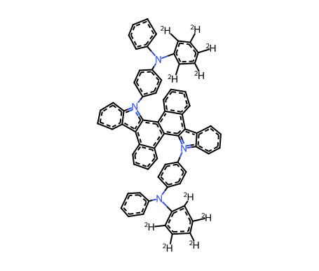 [2H]c1c([2H])c([2H])c(N(c2ccccc2)c2ccc(-n3c4ccccc4c4c5ccccc5c5c(c6ccccc6c6c7ccccc7n(-c7ccc(N(c8ccccc8)c8c([2H])c([2H])c([2H])c([2H])c8[2H])cc7)c65)c43)cc2)c([2H])c1[2H]